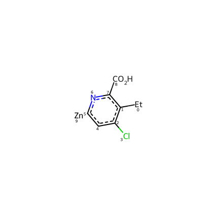 CCc1c(Cl)ccnc1C(=O)O.[Zn]